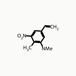 C=Cc1cc(NC)c(C)c([N+](=O)[O-])c1